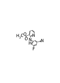 COC(=O)c1cccnc1Nc1cc(F)cc(C#N)c1